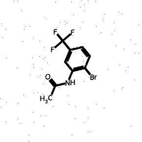 CC(=O)Nc1cc(C(F)(F)F)ccc1Br